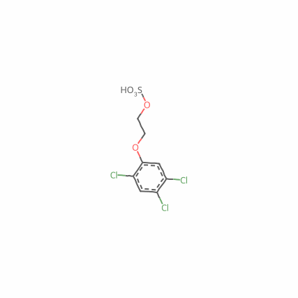 O=S(=O)(O)OCCOc1cc(Cl)c(Cl)cc1Cl